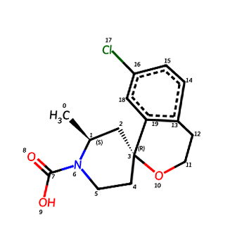 C[C@H]1C[C@@]2(CCN1C(=O)O)OCCc1ccc(Cl)cc12